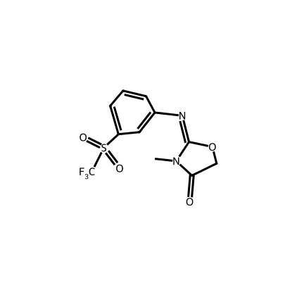 CN1C(=O)COC1=Nc1cccc(S(=O)(=O)C(F)(F)F)c1